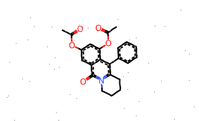 CC(=O)Oc1cc(OC(C)=O)c2c(-c3ccccc3)c3n(c(=O)c2c1)CCCC3